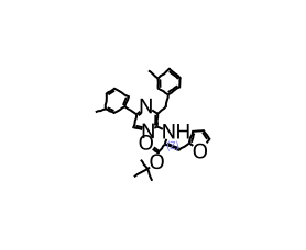 Cc1cccc(Cc2nc(-c3cccc(C)c3)cnc2N/C(=C\c2ccco2)C(=O)OC(C)(C)C)c1